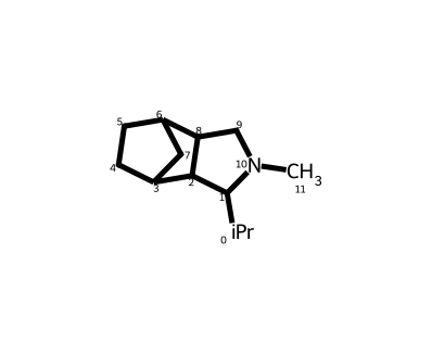 CC(C)C1C2C3CCC(C3)C2CN1C